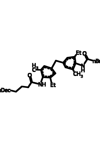 CCCCCCCCCCCCCC(=O)Nc1c(C)cc(Cc2cc(C)c(NC(=O)CCCC)c(CC)c2)cc1CC